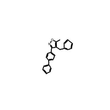 Cc1onc(-c2ccc(-c3ccccc3)cc2)c1Cc1ccccc1